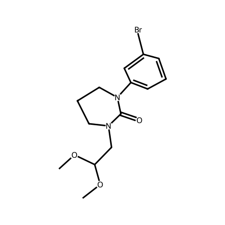 COC(CN1CCCN(c2cccc(Br)c2)C1=O)OC